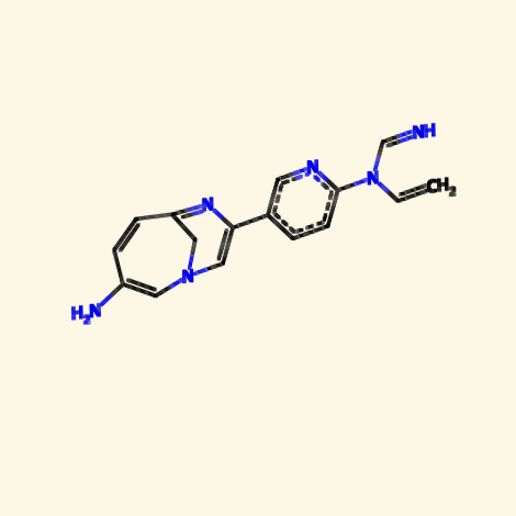 C=CN(C=N)c1ccc(C2=CN3C=C(N)C=CC(=N2)C3)cn1